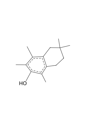 Cc1c(C)c2c(c(C)c1O)CCC(C)(C)C2